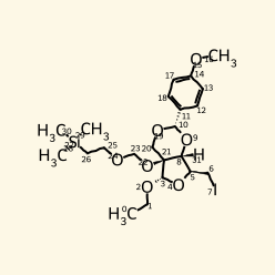 CCO[C@H]1O[C@H](CI)[C@H]2O[C@@H](c3ccc(OC)cc3)OC[C@@]12OCOCC[Si](C)(C)C